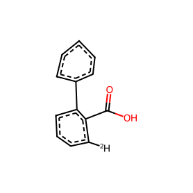 [2H]c1cccc(-c2ccccc2)c1C(=O)O